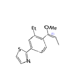 C/C=C(/OC)c1ccc(-c2nccs2)cc1CC